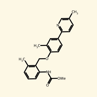 COC(=O)Nc1cccc(C)c1COc1ccc(-c2ccc(C)cn2)cc1C